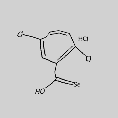 Cl.OC(=[Se])c1cc(Cl)ccc1Cl